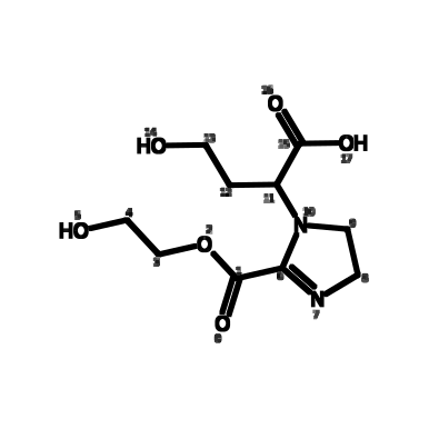 O=C(OCCO)C1=NCCN1C(CCO)C(=O)O